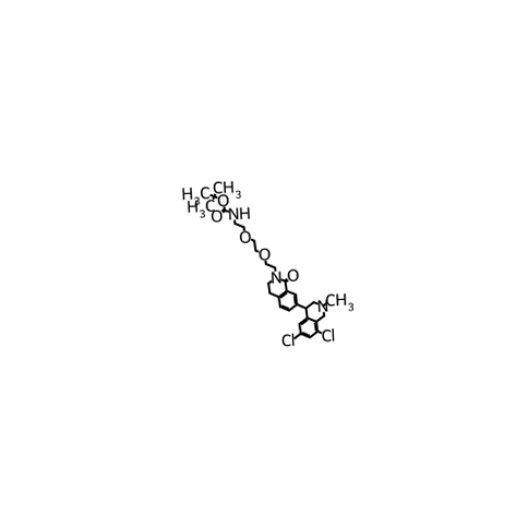 CN1Cc2c(Cl)cc(Cl)cc2C(c2ccc3c(c2)C(=O)N(CCOCCOCCNC(=O)OC(C)(C)C)CC3)C1